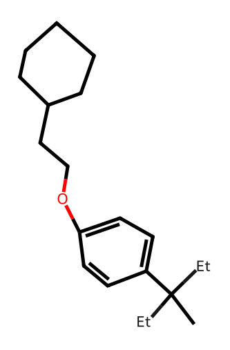 CCC(C)(CC)c1ccc(OCCC2CCCCC2)cc1